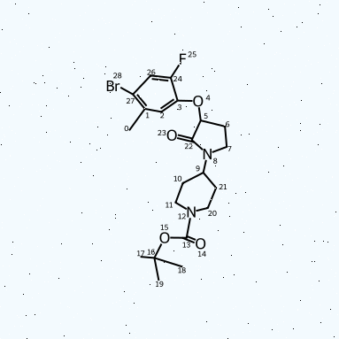 Cc1cc(OC2CCN(C3CCN(C(=O)OC(C)(C)C)CC3)C2=O)c(F)cc1Br